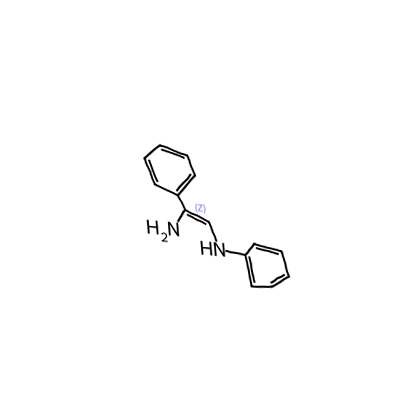 N/C(=C\Nc1ccccc1)c1ccccc1